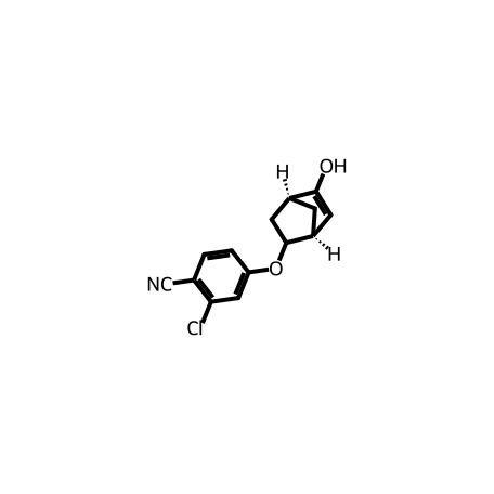 N#Cc1ccc(OC2C[C@@H]3C[C@H]2C=C3O)cc1Cl